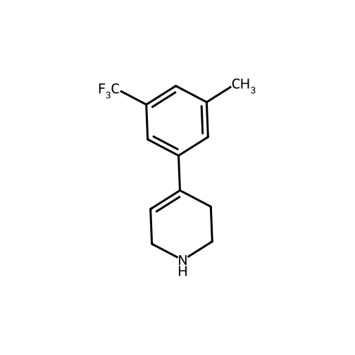 Cc1cc(C2=CCNCC2)cc(C(F)(F)F)c1